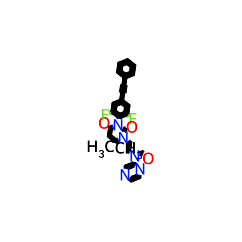 CC1(C)CC(=O)N(c2c(F)cc(C#Cc3ccccc3)cc2F)C(=O)N1CCN(C=O)c1cnccn1